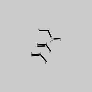 C=CC.C=CC.CCOC